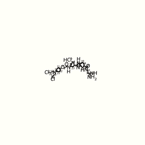 Cl.Cn1cc(NC(=O)COc2ccc(N(CCCl)CCCl)cc2)cc1-c1nc2cc(C(=O)NCCC(=N)N)ccc2[nH]1